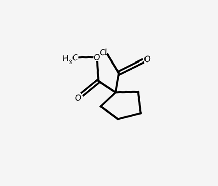 COC(=O)C1(C(=O)Cl)CCCC1